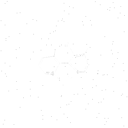 Cc1nnc(Cl)c(-c2c(F)cccc2F)c1O